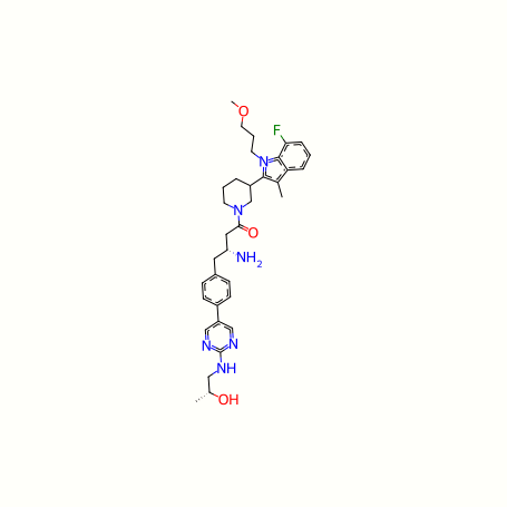 COCCCn1c(C2CCCN(C(=O)C[C@H](N)Cc3ccc(-c4cnc(NC[C@@H](C)O)nc4)cc3)C2)c(C)c2cccc(F)c21